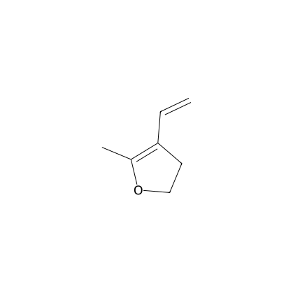 C=CC1=C(C)OCC1